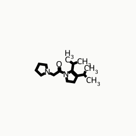 CC(C)C1=C(C(C)C)N(C(=O)CN2CCCC2)CC1